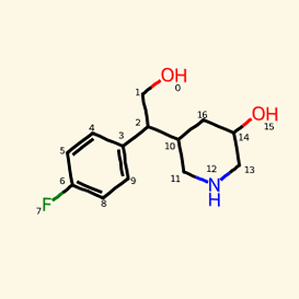 OCC(c1ccc(F)cc1)C1CNCC(O)C1